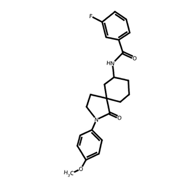 COc1ccc(N2CCC3(CCCC(NC(=O)c4cccc(F)c4)C3)C2=O)cc1